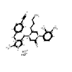 CCCCC1CN(c2cccc(C)c2C)C(=O)CN1Cc1cnc(C)n1Cc1ccc(C#N)cc1.Cl.Cl